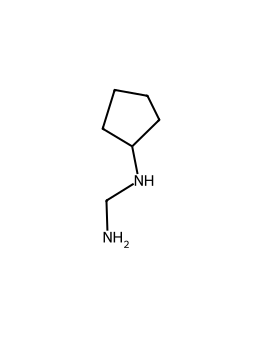 NCNC1CCCC1